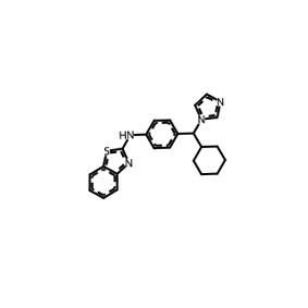 c1ccc2sc(Nc3ccc(C(C4CCCCC4)n4ccnc4)cc3)nc2c1